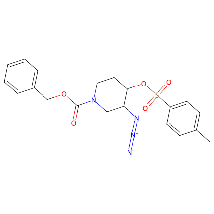 Cc1ccc(S(=O)(=O)OC2CCN(C(=O)OCc3ccccc3)CC2N=[N+]=[N-])cc1